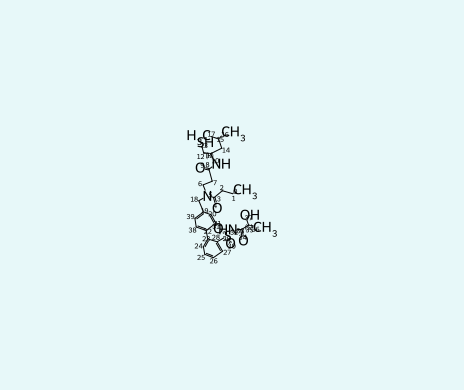 CCCC(=O)N(CCC(=O)N[C@@H](CS)CC(C)C)Cc1ccc(-c2ccccc2S(=O)(=O)NC(=O)[C@H](C)O)cc1